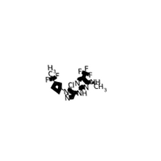 CNc1nc(Nc2cnn([C@@H]3CC[C@H](C(C)(F)F)C3)c2Cl)ncc1C(F)(F)F